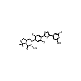 CC(C)(C)OC(=O)N1C(COc2cc(Cl)c(-c3nnc(-c4cc(O)nc(Cl)c4)s3)cc2F)COC1(C)C